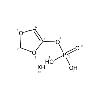 O=P(O)(O)OC1=COCO1.[KH]